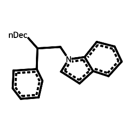 CCCCCCCCCCC(Cn1ccc2ccccc21)c1ccccc1